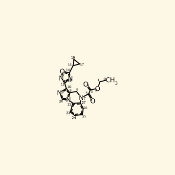 CCOC(=O)C(=O)N1Cc2c(-c3noc(C4CC4)n3)ncn2-c2ccccc21